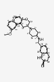 COc1ccc2ncc3c(c2c1)CC(N1CCC(NCc2ccc4c(c2)NC(=O)CS4)CC1)CO3